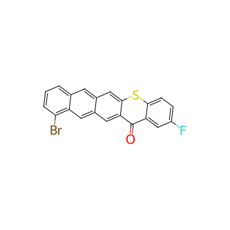 O=c1c2cc(F)ccc2sc2cc3cc4cccc(Br)c4cc3cc12